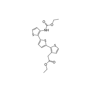 CCOC(=O)Cc1ccsc1-c1ccc(-c2sccc2NC(=O)OCC)s1